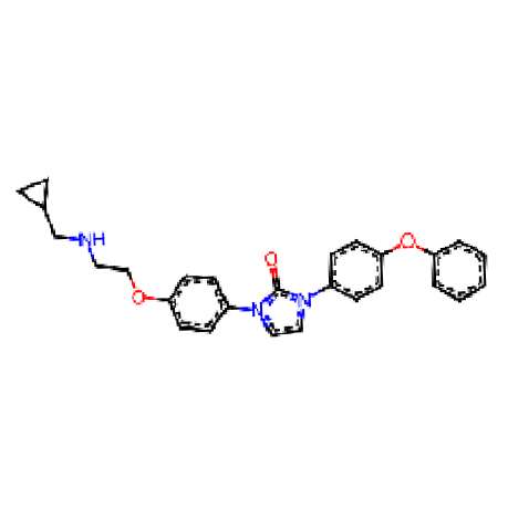 O=c1n(-c2ccc(OCCNCC3CC3)cc2)ccn1-c1ccc(Oc2ccccc2)cc1